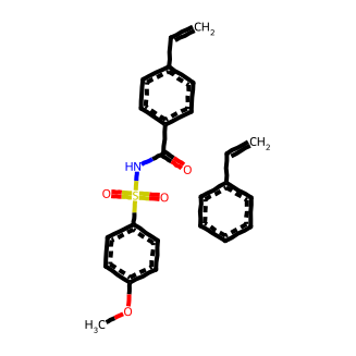 C=Cc1ccc(C(=O)NS(=O)(=O)c2ccc(OC)cc2)cc1.C=Cc1ccccc1